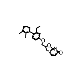 CCc1cc(OCC2Cn3ccc(=O)nc3O2)ccc1-c1cccc(C)c1C